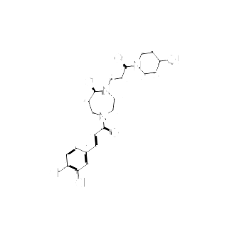 O=C(/C=C/c1ccc(Cl)c(Cl)c1)N1CCC(=O)N(CCC(=O)N2CCC(O)CC2)CC1